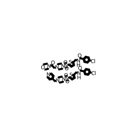 O=C(NCc1ccc(S(=O)(=O)N2CCN(CC(=O)N3CCOCC3)CC2)s1)c1ccc(Cl)cc1.O=C(NCc1ccc(S(=O)(=O)N2CCN(Cc3ccncc3)CC2)s1)c1ccc(Cl)cc1